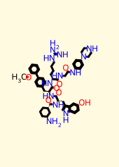 COc1ccccc1-c1ccc(C[C@H](NC(=O)[C@H](Cc2c[nH]c3ccc(O)cc23)NC(=O)[C@H]2CCC[C@H](N)C2)C(=O)N[C@@H](CCCCNC(=N)N)C(=O)NCC(=O)Nc2ccc(N3CCNCC3)cc2)cc1